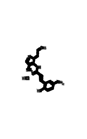 Cl.Nc1ccc(O)c(C=CC(=O)Nc2c(N)cnn2CCO)c1